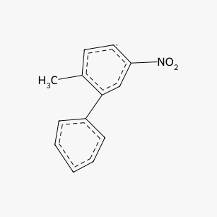 Cc1c[c]c([N+](=O)[O-])cc1-c1ccccc1